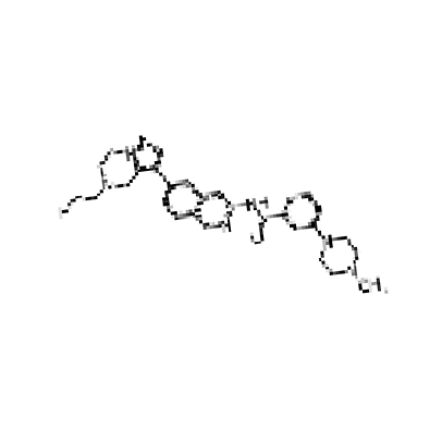 CN1CCN(c2cccc(C(=O)Nc3cc4cc(-c5cnn6c5CN(CCF)CC6)ccc4cn3)c2)CC1